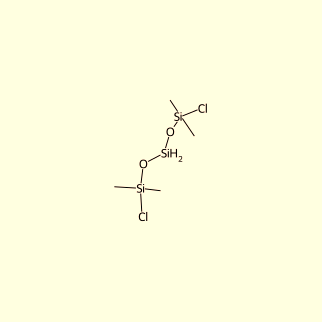 C[Si](C)(Cl)O[SiH2]O[Si](C)(C)Cl